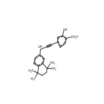 CC1(C)CCC(C)(C)c2cc(CC#Cc3ccc(C(=O)O)c(O)c3)ccc21.[LiH]